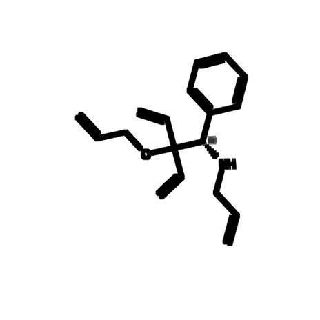 C=CCN[C@@H](c1ccccc1)C(C=C)(C=C)OCC=C